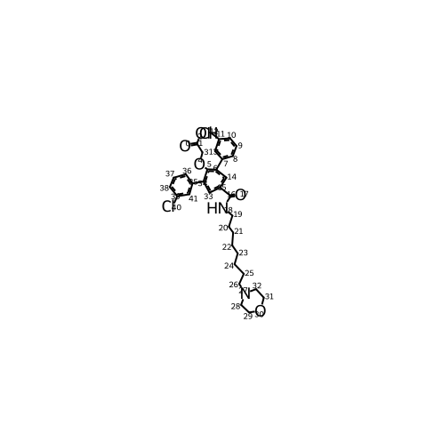 O=C(O)COc1c(-c2cccc(Cl)c2)cc(C(=O)NCCCCCCCCN2CCOCC2)cc1-c1cccc(Cl)c1